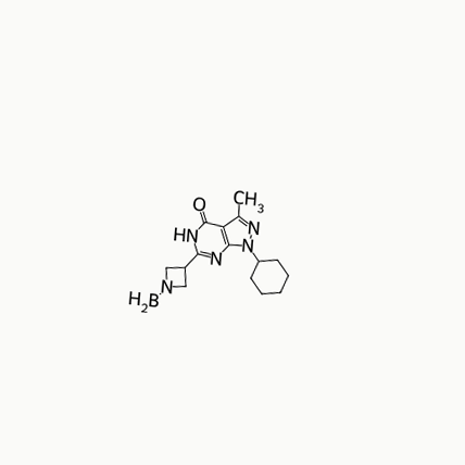 BN1CC(c2nc3c(c(C)nn3C3CCCCC3)c(=O)[nH]2)C1